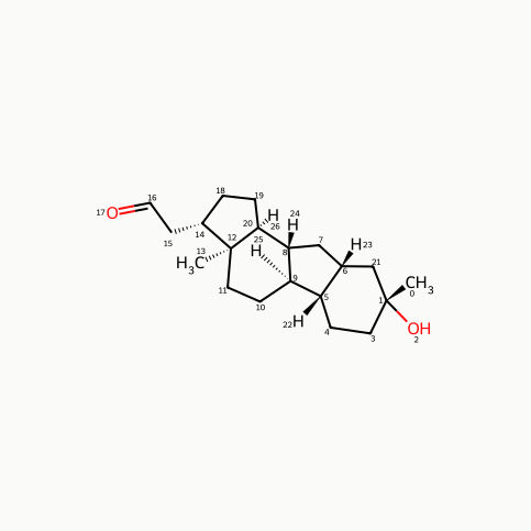 C[C@@]1(O)CC[C@H]2[C@H](C[C@@H]3[C@@H]2CC[C@@]2(C)[C@H](CC=O)CC[C@@H]32)C1